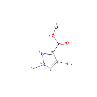 CCOC(=O)c1nn(C)cc1I